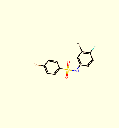 O=S(=O)(Nc1ccc(F)[c]([Ti])c1)c1ccc(Br)cc1